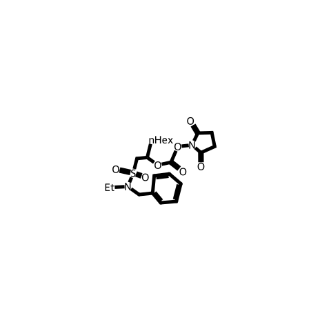 CCCCCCC(CS(=O)(=O)N(CC)Cc1ccccc1)OC(=O)ON1C(=O)CCC1=O